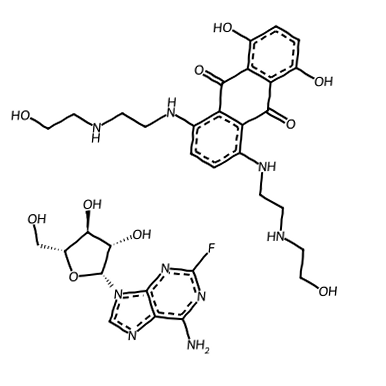 Nc1nc(F)nc2c1ncn2[C@@H]1O[C@H](CO)[C@@H](O)[C@@H]1O.O=C1c2c(O)ccc(O)c2C(=O)c2c(NCCNCCO)ccc(NCCNCCO)c21